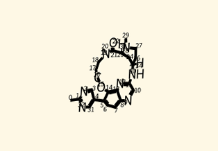 Cc1ncc(-c2ccc3ncc4nc3c2OCCCN(C)C(=O)[C@@H]2C[C@H](CCN2C)N4)cn1